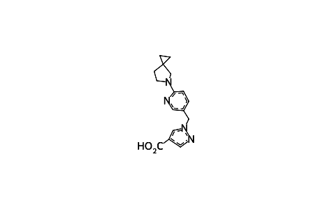 O=C(O)c1cnn(Cc2ccc(N3CCC4(CC4)C3)nc2)c1